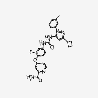 CNC(=O)c1cc(Oc2ccc(NC(=O)Nc3cc(C4CCC4)nn3-c3cccc(C)c3)cc2F)ccn1